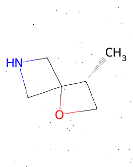 C[C@@H]1COC12CNC2